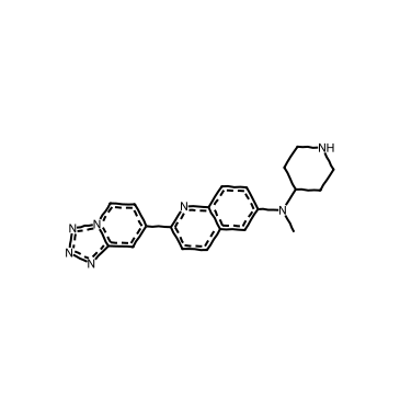 CN(c1ccc2nc(-c3ccn4nnnc4c3)ccc2c1)C1CCNCC1